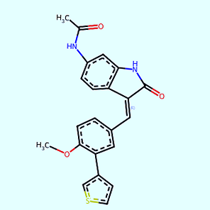 COc1ccc(/C=C2/C(=O)Nc3cc(NC(C)=O)ccc32)cc1-c1ccsc1